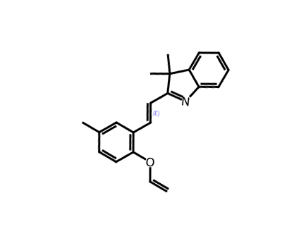 C=COc1ccc(C)cc1/C=C/C1=Nc2ccccc2C1(C)C